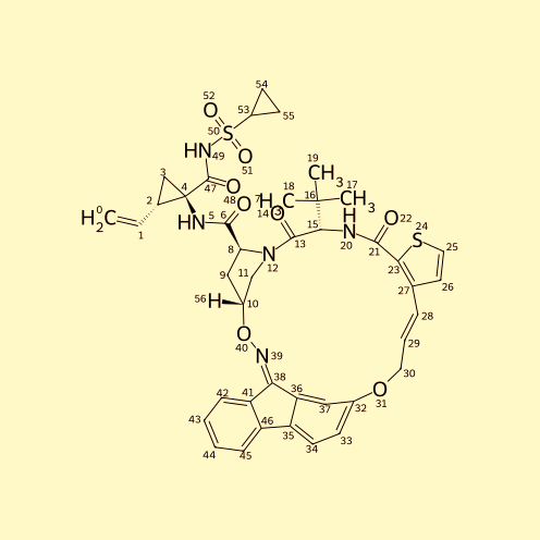 C=C[C@@H]1C[C@]1(NC(=O)[C@@H]1C[C@@H]2CN1C(=O)[C@H](C(C)(C)C)NC(=O)c1sccc1/C=C/COc1ccc3c(c1)/C(=N/O2)c1ccccc1-3)C(=O)NS(=O)(=O)C1CC1